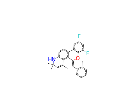 CC1=CC(C)(C)Nc2ccc3c(c21)/C(=C/c1ccccc1C)Oc1c(F)cc(F)cc1-3